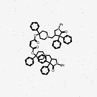 CC(C)N1CC(CN2CCC(OC(=O)/C=C\C(=O)OC3(c4ccccc4)CCN(CC4CN(C(C)C)C(=O)C4(c4ccccc4)c4ccccc4)CC3)(c3ccccc3)CC2)C(c2ccccc2)(c2ccccc2)C1=O